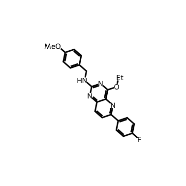 CCOc1nc(NCc2ccc(OC)cc2)nc2ccc(-c3ccc(F)cc3)nc12